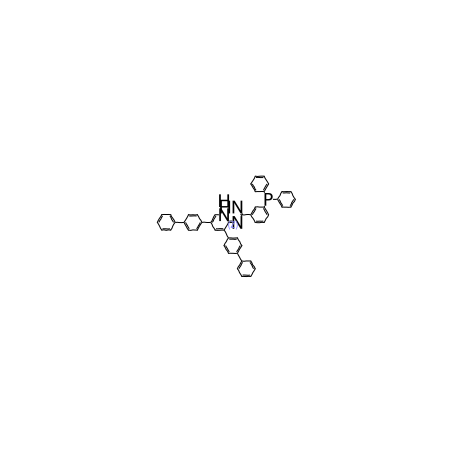 N=C(/N=c1\[nH]cc(-c2ccc(-c3ccccc3)cc2)cc1-c1ccc(-c2ccccc2)cc1)c1cccc(P(c2ccccc2)c2ccccc2)c1